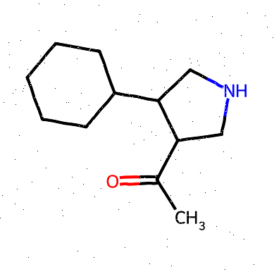 CC(=O)C1CNCC1C1CCCCC1